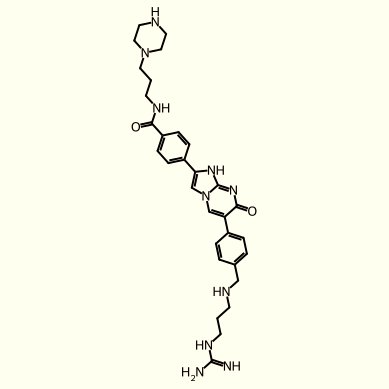 N=C(N)NCCCNCc1ccc(-c2cn3cc(-c4ccc(C(=O)NCCCN5CCNCC5)cc4)[nH]c3nc2=O)cc1